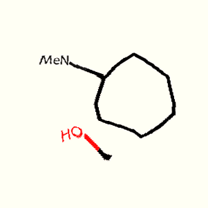 CNC1CCCCC1.CO